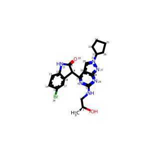 C[C@H](O)CNc1nc(C2C(=O)Nc3ccc(Br)cc32)c2cn(C3CCCC3)nc2n1